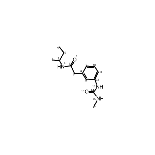 CCC(C)NC(=O)Cc1cccc(NC(=O)NC)c1